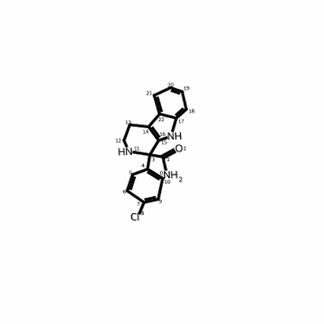 NC(=O)C1(c2ccc(Cl)cc2)NCCc2c1[nH]c1ccccc21